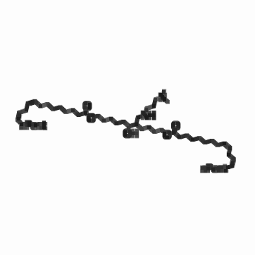 CCCCC/C=C\C/C=C\CCCCCCCC(=O)OCCCCCC(O)C(CCCCOC(=O)CCCCCCC/C=C\C/C=C\CCCCC)CNCCCN(C)C